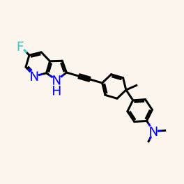 CN(C)c1ccc(C2(C)C=CC(C#Cc3cc4cc(F)cnc4[nH]3)=CC2)cc1